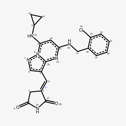 O=C1C/C(=C\c2cnn3c(NC4CC4)cc(NCc4ccccc4Cl)nc23)C(=O)N1